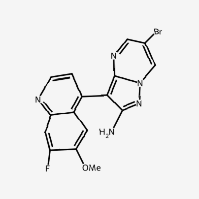 COc1cc2c(-c3c(N)nn4cc(Br)cnc34)ccnc2cc1F